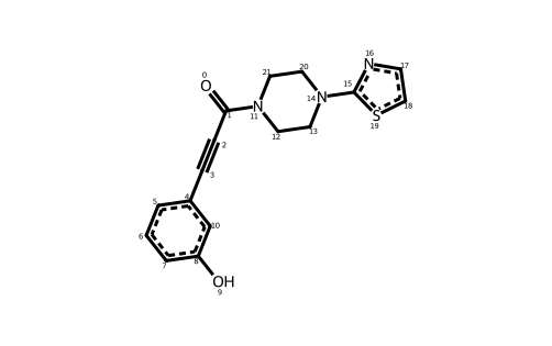 O=C(C#Cc1cccc(O)c1)N1CCN(c2nccs2)CC1